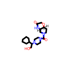 O=C1CO[C@H]2CCN(C(=O)N3CCN(C(CO)C4CCCCC4)CC3)C[C@H]2N1